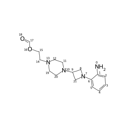 Nc1ccccc1N1CC(N2CCN(CCOC=O)CC2)C1